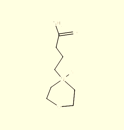 NC(=O)CCC[N+]1([O-])CCOCC1